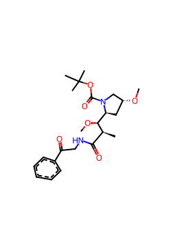 CO[C@@H]1C[C@@H]([C@H](OC)[C@@H](C)C(=O)NCC(=O)c2ccccc2)N(C(=O)OC(C)(C)C)C1